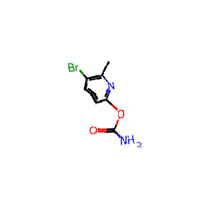 Cc1nc(OC(N)=O)ccc1Br